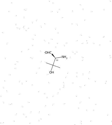 CC(C)(O)[C@H](N)[C]=O